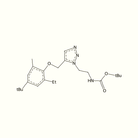 CCc1cc(C(C)(C)C)cc(C)c1OCc1cnnn1CCNC(=O)OC(C)(C)C